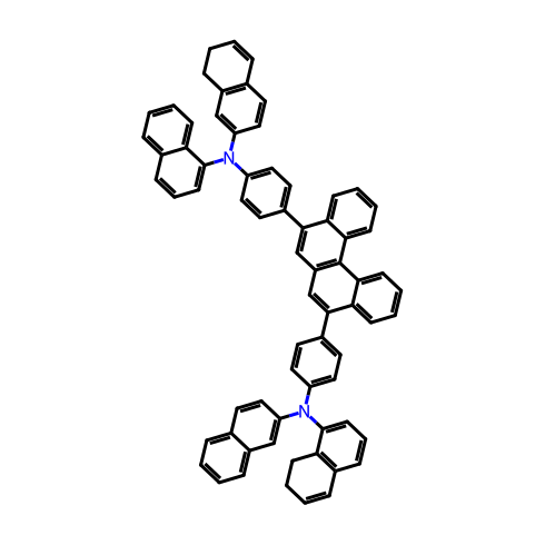 C1=Cc2ccc(N(c3ccc(-c4cc5cc(-c6ccc(N(c7ccc8ccccc8c7)c7cccc8c7CCC=C8)cc6)c6ccccc6c5c5ccccc45)cc3)c3cccc4ccccc34)cc2CC1